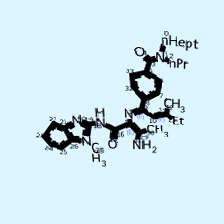 CCCCCCCN(CCC)C(=O)c1ccc(C(/C=C(\C)CC)=N/C(C(=O)Nc2nc3ccccc3n2C)=C(\C)N)cc1